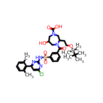 Cc1cccc(C)c1-c1cc(Cl)nc(NS(=O)(=O)c2cccc(C(=O)N3CC(O)CN(C(=O)O)CC3CCO[Si](C)(C)C(C)(C)C)c2)n1